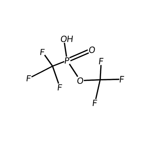 O=P(O)(OC(F)(F)F)C(F)(F)F